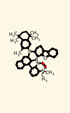 Cc1cc2c(cc1N1c3cc4ccccc4c4c3B(c3c1ccc1c3oc3ccccc31)N1c3ccccc3[Si](C)(C)c3cccc-4c31)C(C)(C)CCC2(C)C